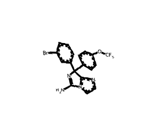 NC1=NC(c2ccc(OC(F)(F)F)cc2)(c2cccc(Br)c2)c2nccn21